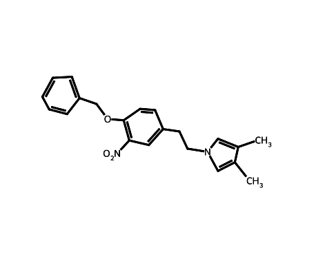 Cc1cn(CCc2ccc(OCc3ccccc3)c([N+](=O)[O-])c2)cc1C